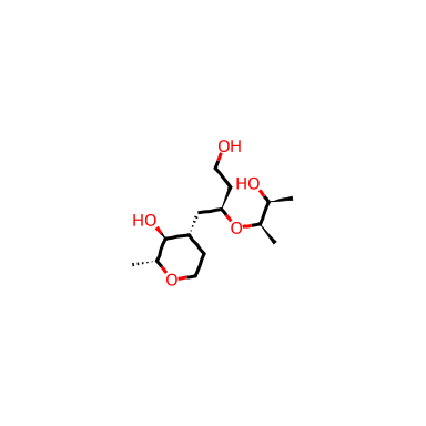 C[C@H](O)[C@@H](C)O[C@H](CCO)C[C@@H]1CCO[C@H](C)[C@H]1O